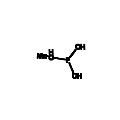 OP(O)O.[Mn]